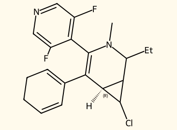 CCC1C2C(Cl)[C@H]2C(C2=CCCC=C2)=C(c2c(F)cncc2F)N1C